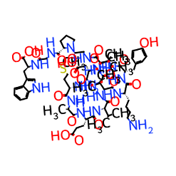 CSCC[C@H](N)C(=O)N[C@@H](C)C(=O)N[C@@H](CCC(=O)O)C(=O)N[C@H](C(=O)N[C@H](C(=O)N[C@@H](CCCCN)C(=O)N[C@@H](Cc1ccc(O)cc1)C(=O)N[C@@H](C)C(=O)N[C@@H](CC(=O)O)C(=O)NCC(=O)N[C@H](C(=O)NCC(=O)N1CCC[C@H]1C(=O)NCC(=O)N[C@@H](Cc1c[nH]c2ccccc12)C(=O)O)C(C)C)C(C)C)C(C)C